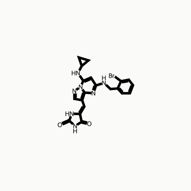 O=C1NC(=O)C(=Cc2cnn3c(NC4CC4)cc(NCc4ccccc4Br)nc23)N1